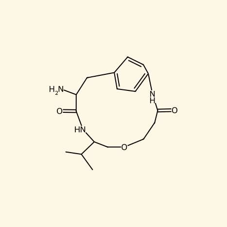 CC(C)C1COCCC(=O)Nc2ccc(cc2)CC(N)C(=O)N1